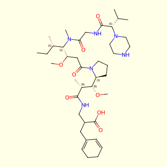 CC[C@H](C)[C@@H](C(CC(=O)N1CCC[C@H]1[C@H](OC)[C@@H](C)C(=O)NCC(CC1=CCCC=C1)C(=O)O)OC)N(C)C(=O)CNC(=O)[C@H](C(C)C)N1CCNCC1